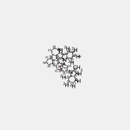 [2H]c1c([2H])c([2H])c2c(c1[2H])c([2H])c(C)n2-c1cccc(-n2c([Si](c3ccccc3)(c3ccccc3)c3ccccc3)c([2H])c3c([2H])c([2H])c([2H])c([2H])c32)c1